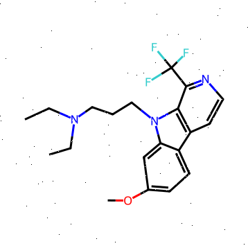 CCN(CC)CCCn1c2cc(OC)ccc2c2ccnc(C(F)(F)F)c21